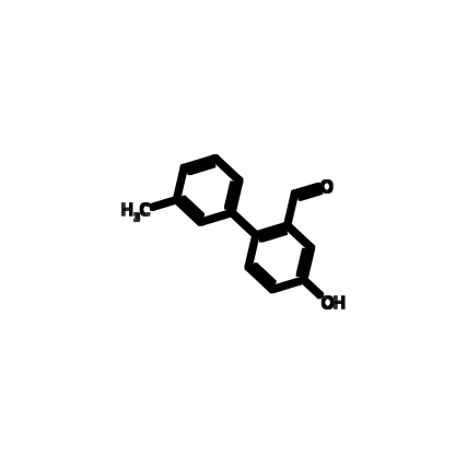 Cc1cccc(-c2ccc(O)cc2C=O)c1